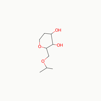 CC(C)OCC1OCCC(O)C1O